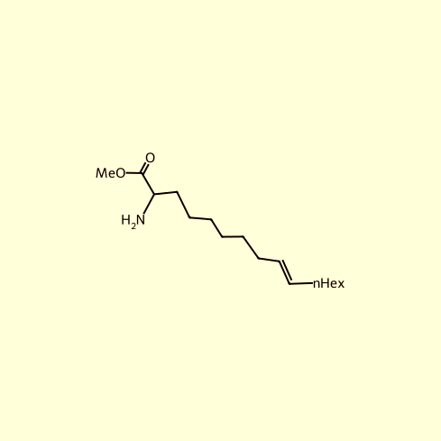 CCCCCC/C=C/CCCCCCC(N)C(=O)OC